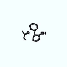 CCC(C)=O.Oc1ccccc1-c1ccccc1